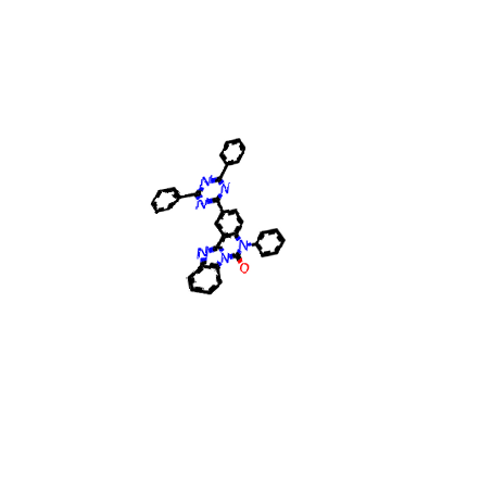 O=c1n(-c2ccccc2)c2ccc(-c3nc(-c4ccccc4)nc(-c4ccccc4)n3)cc2c2nc3ccccc3n12